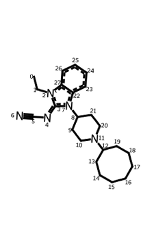 CCn1/c(=N\C#N)n(C2CCN(C3CCCCCCC3)CC2)c2ccccc21